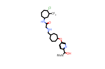 CNC(O)c1ccc(OC2CCCC(CNCC(=O)NC3CCC[C@H](Cl)C(C(F)(F)F)C3)CC2)cn1